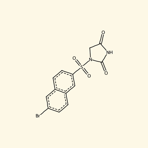 O=C1CN(S(=O)(=O)c2ccc3cc(Br)ccc3c2)C(=O)N1